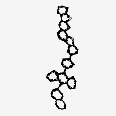 C1=CC2=CC=C(c3c4ccccc4c(-c4ccc(-c5ccc6sc7c8cc9oc%10ccccc%10c9cc8ccc7c6c5)cc4)c4ccccc34)CC2C=C1